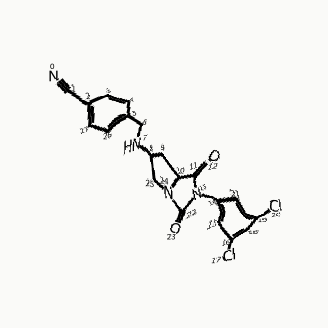 N#Cc1ccc(CNC2CC3C(=O)N(c4cc(Cl)cc(Cl)c4)C(=O)N3C2)cc1